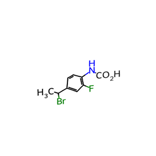 CC(Br)c1ccc(NC(=O)O)c(F)c1